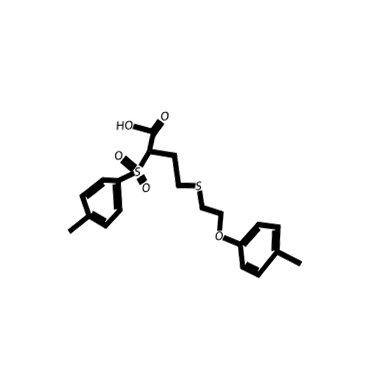 Cc1ccc(OCCSCCC(C(=O)O)S(=O)(=O)c2ccc(C)cc2)cc1